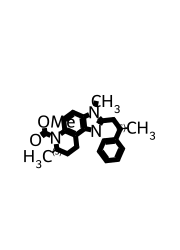 COC(=O)N1c2ccc3c(nc(C[C@H](C)c4ccccc4)n3C)c2CC[C@@H]1C